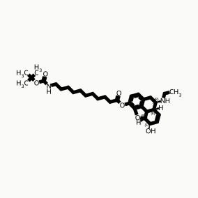 CCN[C@@H]1Cc2ccc(OC(=O)CCCCCCCCCCNC(=O)OC(C)(C)C)c3c2C2[C@H]1C=C[C@H](O)[C@@H]2O3